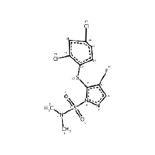 CN(C)S(=O)(=O)n1ncc(F)c1Sc1ccc(Cl)cc1Cl